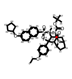 CCOc1ccc(C(F)(F)C(C(=O)N2C3CCC2CC(NC(=O)OC(C)(C)C)C3)N(C)S(=O)(=O)c2ccc3cc(OC4CCCC4)ccc3c2)cc1